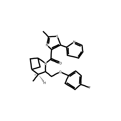 Cc1nc(C(=O)N2C3CC(C3)[C@H](C)C2COc2ccc(F)cc2)c(-c2ccccn2)s1